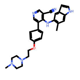 Cc1cc2[nH]ccc2cc1Nc1c(C#N)cncc1-c1ccc(OCCN2CCN(C)CC2)cc1